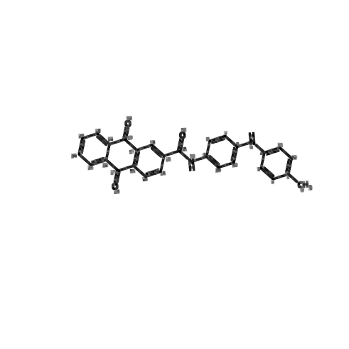 Cc1ccc(Nc2ccc(NC(=O)c3ccc4c(c3)C(=O)c3ccccc3C4=O)cc2)cc1